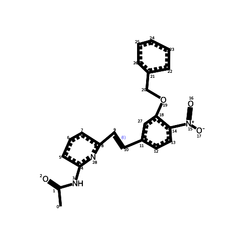 CC(=O)Nc1cccc(/C=C/c2ccc([N+](=O)[O-])c(OCc3ccccc3)c2)n1